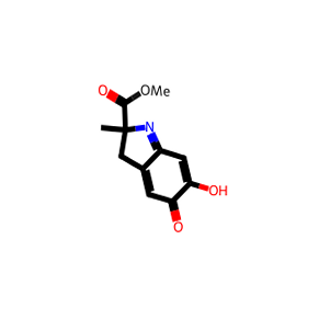 COC(=O)C1(C)CC2=CC(=O)C(O)=CC2=N1